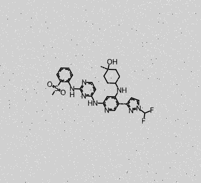 CC1(O)CCC(Nc2cc(Nc3ccnc(Nc4ccccc4S(C)(=O)=O)n3)ncc2-c2ccn(C(F)F)n2)CC1